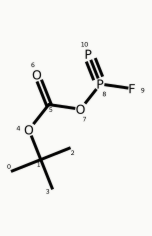 CC(C)(C)OC(=O)OP(F)#P